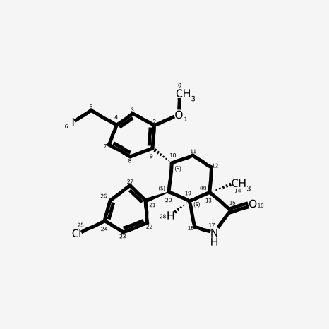 COc1cc(CI)ccc1[C@@H]1CC[C@@]2(C)C(=O)NC[C@H]2[C@H]1c1ccc(Cl)cc1